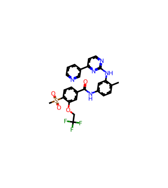 Cc1ccc(NC(=O)c2ccc(S(C)(=O)=O)c(OCC(F)(F)F)c2)cc1Nc1nccc(-c2cccnc2)n1